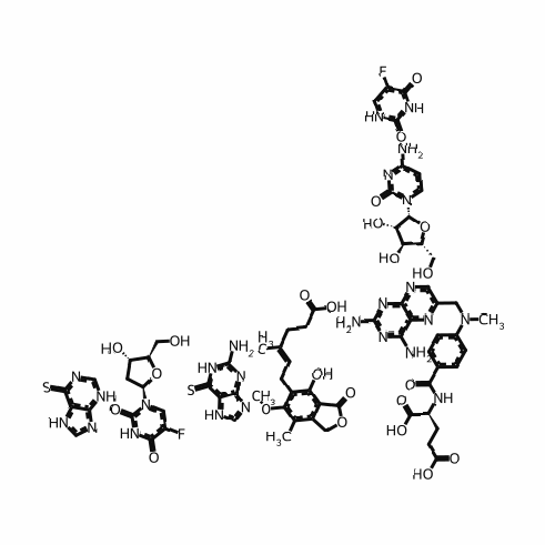 CN(Cc1cnc2nc(N)nc(N)c2n1)c1ccc(C(=O)N[C@@H](CCC(=O)O)C(=O)O)cc1.COc1c(C)c2c(c(O)c1C/C=C(\C)CCC(=O)O)C(=O)OC2.Nc1ccn([C@@H]2O[C@H](CO)[C@@H](O)[C@@H]2O)c(=O)n1.Nc1nc2nc[nH]c2c(=S)[nH]1.O=c1[nH]c(=O)n([C@H]2C[C@H](O)[C@@H](CO)O2)cc1F.O=c1[nH]cc(F)c(=O)[nH]1.S=c1nc[nH]c2nc[nH]c12